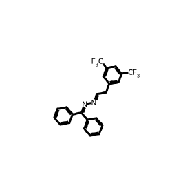 FC(F)(F)c1cc(CC=NN=C(c2ccccc2)c2ccccc2)cc(C(F)(F)F)c1